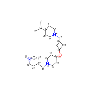 CC(C)C1CCN(C[C@H]2C[C@H](OC3CCN(CC4CCN(C)CC4)CC3)C2)CC1